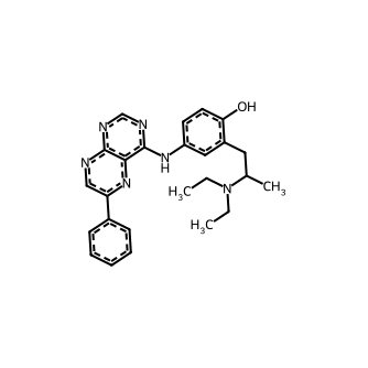 CCN(CC)C(C)Cc1cc(Nc2ncnc3ncc(-c4ccccc4)nc23)ccc1O